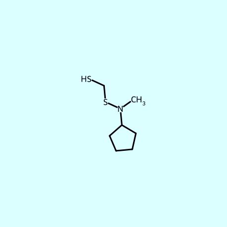 CN(SCS)C1CCCC1